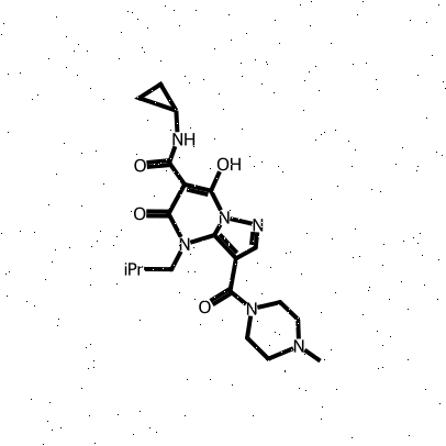 CC(C)Cn1c(=O)c(C(=O)NC2CC2)c(O)n2ncc(C(=O)N3CCN(C)CC3)c12